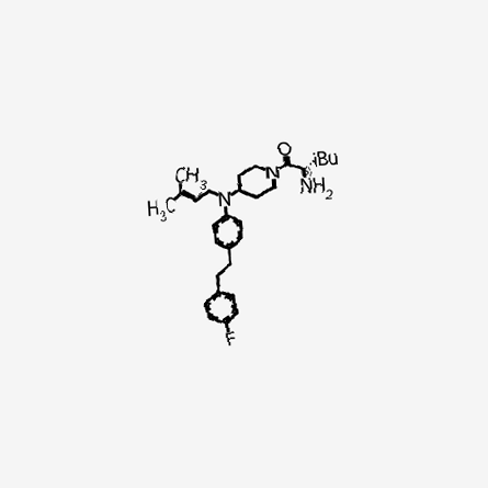 CCC(C)[C@H](N)C(=O)N1CCC(N(CC=C(C)C)c2ccc(CCc3ccc(F)cc3)cc2)CC1